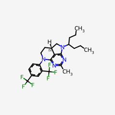 CCCC(CCC)N1C[C@H]2CCN(c3ccc(C(F)(F)F)cc3C(F)(F)F)c3nc(C)nc1c32